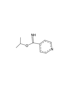 CC(C)OC(=N)c1ccncc1